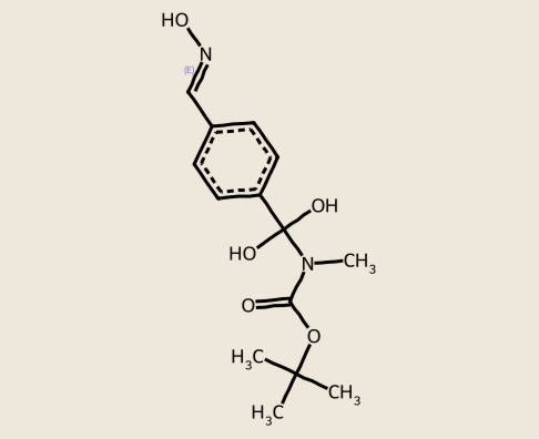 CN(C(=O)OC(C)(C)C)C(O)(O)c1ccc(/C=N/O)cc1